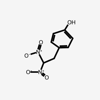 O=[N+]([O-])C(Cc1ccc(O)cc1)[N+](=O)[O-]